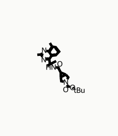 Cc1nc(C(C)(C)NC(=O)C2C3CN(C(=O)OC(C)(C)C)CC32)c2cccc(C)c2n1